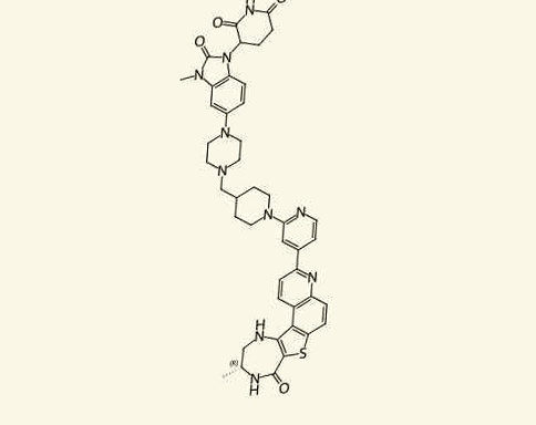 C[C@@H]1CNc2c(sc3ccc4nc(-c5ccnc(N6CCC(CN7CCN(c8ccc9c(c8)n(C)c(=O)n9C8CCC(=O)NC8=O)CC7)CC6)c5)ccc4c23)C(=O)N1